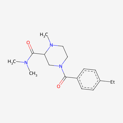 CCc1ccc(C(=O)N2CCN(C)C(C(=O)N(C)C)C2)cc1